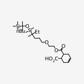 CCCC[Si](C)(C)C(C)(C)O[Si](C)(C)C(C)(CC)CCCOCCOC(=O)C1CC=CCC1C(=O)O